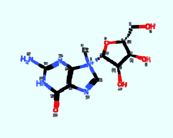 CC[N+]1([C@@H]2O[C@H](CO)[C@@H](O)[C@H]2O)C=Nc2c1nc(N)[nH]c2=O